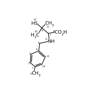 Cc1ccc(CNC(C(=O)O)C(C)(C)S)cc1